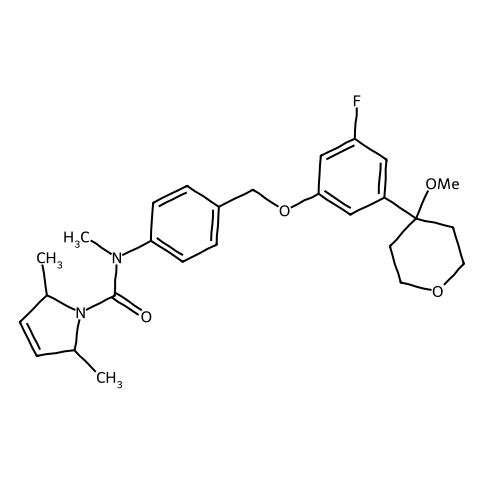 COC1(c2cc(F)cc(OCc3ccc(N(C)C(=O)N4C(C)C=CC4C)cc3)c2)CCOCC1